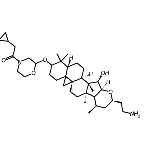 C[C@@H]1C[C@H](CCN)O[C@H]2C1[C@@]1(C)CC[C@@]34CC35CCC(OC3CN(C(=O)CC6CC6)CCO3)C(C)(C)[C@@H]5CC[C@H]4[C@]1(C)[C@H]2O